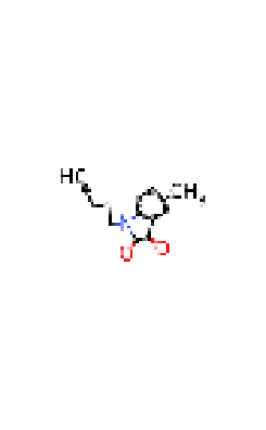 C#CCCCN1C(=O)C(=O)c2cc(C)ccc21